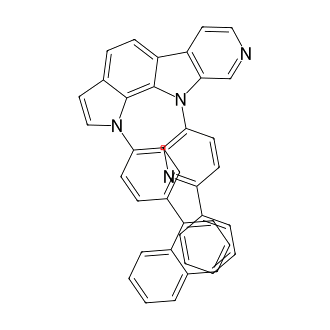 c1ccc(-c2ccc(-n3c4cnccc4c4ccc5ccn(-c6ccc(-c7cccc8ccccc78)cc6)c5c43)cn2)cc1